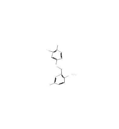 COc1ccc(Cl)cc1COc1ccc(F)c(N)c1